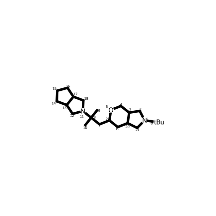 CC(C)(C)N1CC2COC(CC(C)(C)N3CC4CCCC4C3)CC2C1